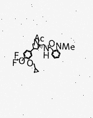 CNc1ccccc1C(=O)NC[C@H]1CC(c2ccc(OC(F)F)c(OCC3CC3)c2)CN1C(C)=O